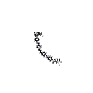 CCN(CC)c1ccc(/C=C/c2cc[n+](CCC[n+]3ccc(/C=C/c4ccc(N(CC)CC)cc4)cc3)cc2)cc1